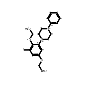 COCOc1cc(C)c(OCOC)c(N2CCN(c3ccccc3)CC2)c1